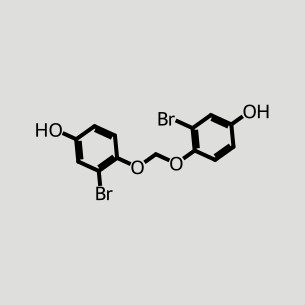 Oc1ccc(OCOc2ccc(O)cc2Br)c(Br)c1